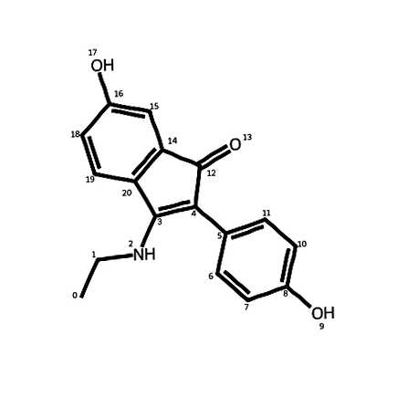 CCNC1=C(c2ccc(O)cc2)C(=O)c2cc(O)ccc21